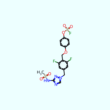 CS(=O)(=O)Nc1ncn(Cc2cc(F)c(COc3ccc(OS(=O)(=O)F)cc3)c(F)c2)n1